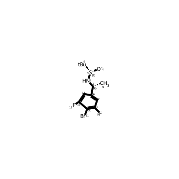 C[C@@H](N[S@+]([O-])C(C)(C)C)c1cc(F)c(Br)c(F)c1